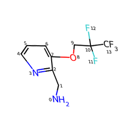 NCc1ncccc1OCC(F)(F)C(F)(F)F